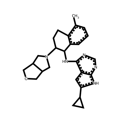 Cc1cccc2c1CCC(N1CC3COCC3C1)C2Nc1ncnc2[nH]c(C3CC3)cc12